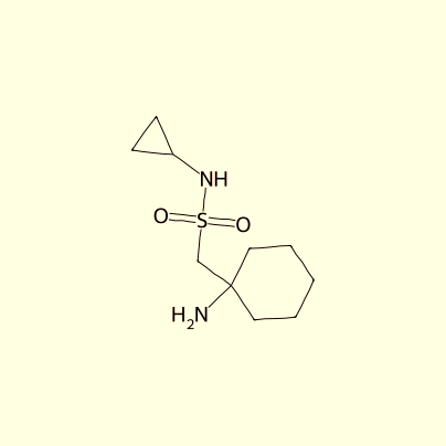 NC1(CS(=O)(=O)NC2CC2)CCCCC1